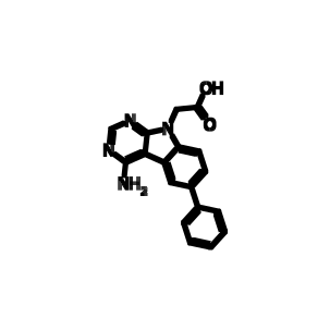 Nc1ncnc2c1c1cc(-c3ccccc3)ccc1n2CC(=O)O